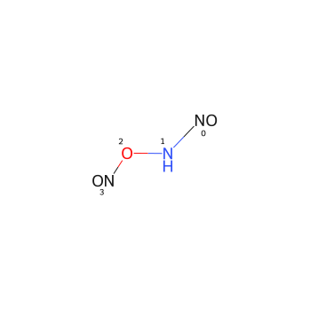 O=NNON=O